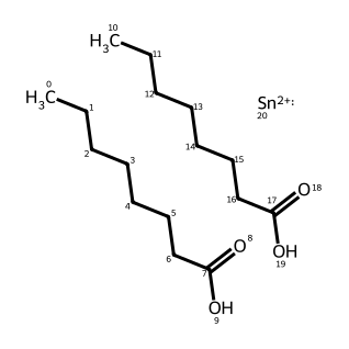 CCCCCCCC(=O)O.CCCCCCCC(=O)O.[Sn+2]